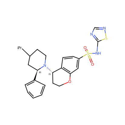 CC(C)C1CCN([C@H]2CCOc3cc(S(=O)(=O)Nc4ncns4)ccc32)[C@@H](c2ccccc2)C1